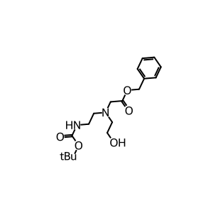 CC(C)(C)OC(=O)NCCN(CCO)CC(=O)OCc1ccccc1